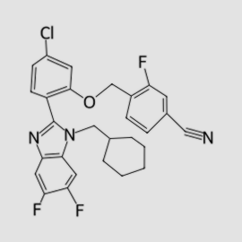 N#Cc1ccc(COc2cc(Cl)ccc2-c2nc3cc(F)c(F)cc3n2CC2CCCCC2)c(F)c1